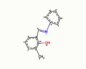 Cc1cccc(C=Nc2ccccc2)c1O